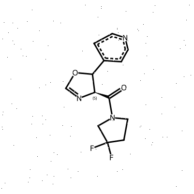 O=C([C@H]1N=COC1c1ccncc1)N1CCC(F)(F)C1